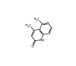 Cc1cc(=O)[nH]c2ccnc(C)c12